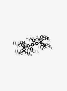 Cc1cc(-c2cc(-c3ccc(-n4c5ccc(C(C)(C)C)cc5c5cc(C(C)(C)C)ccc54)cc3)c(-c3cc(C)nc(C)c3)cc2-c2ccc(-n3c4ccc(C(C)(C)C)cc4c4cc(C(C)(C)C)ccc43)cc2)cc(C)n1